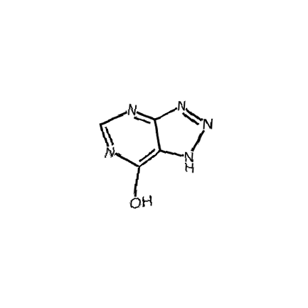 Oc1ncnc2nn[nH]c12